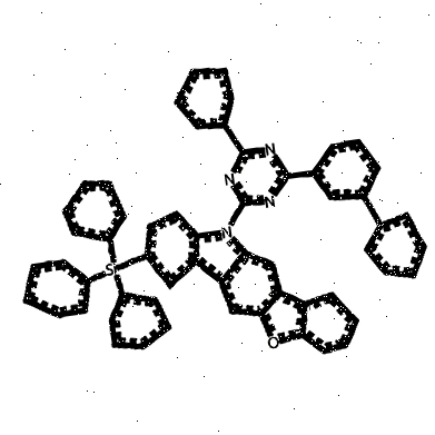 c1ccc(-c2cccc(-c3nc(-c4ccccc4)nc(-n4c5ccc([Si](c6ccccc6)(c6ccccc6)c6ccccc6)cc5c5cc6oc7ccccc7c6cc54)n3)c2)cc1